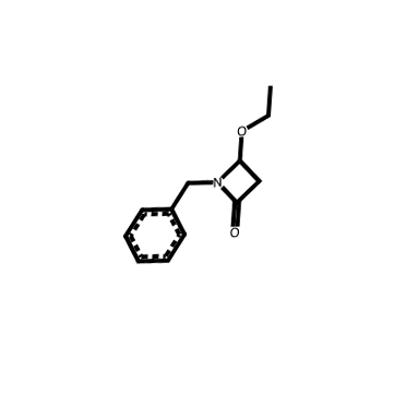 CCOC1CC(=O)N1Cc1ccccc1